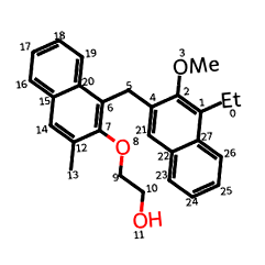 CCc1c(OC)c(Cc2c(OCCO)c(C)cc3ccccc23)cc2ccccc12